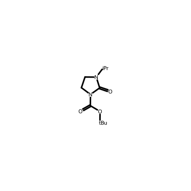 CC(C)N1CCN(C(=O)OC(C)(C)C)C1=O